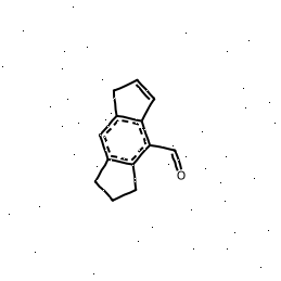 O=Cc1c2c(cc3c1CCC3)CC=C2